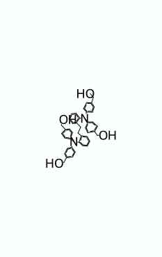 OCc1ccc(N(c2ccc(CO)cc2)c2ccccc2CCc2ccccc2N(c2ccc(CO)cc2)c2ccc(CO)cc2)cc1